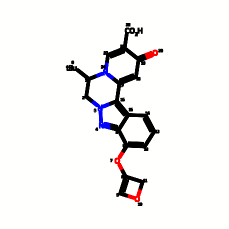 CC(C)(C)C1Cn2nc3c(OC4=COC4)cccc3c2-c2cc(=O)c(C(=O)O)cn21